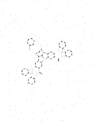 O=C1c2cc3c(cc2C2c4ccccc4C24c2ccccc2C14)c1c2cc(c4c5cc6c(cc5n3c14)C(=O)C1c3ccccc3C13c1ccccc1C63)CCc1cccc(c1)CC2